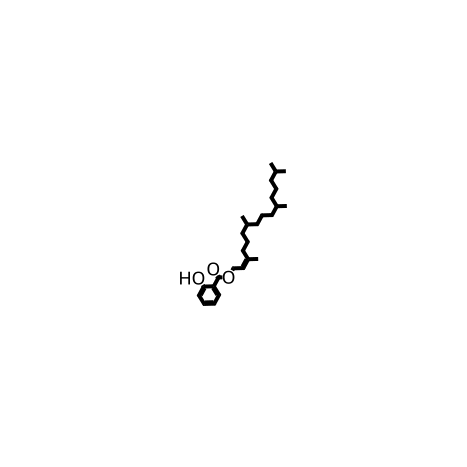 CC(=CCOC(=O)c1ccccc1O)CCCC(C)CCCC(C)CCCC(C)C